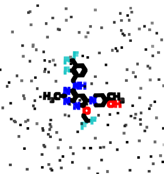 Cc1nc(NCc2cccc(C(F)F)c2F)c2cc(N3CCC(C)(O)CC3)c(OCC(F)F)nc2n1